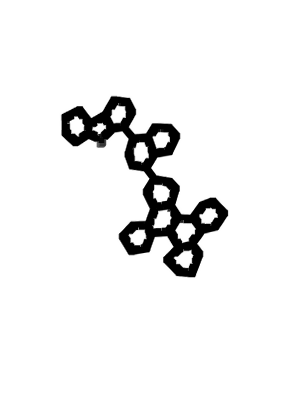 c1ccc2c(c1)sc1c(-c3ccc(-c4ccc5c(c4)c4ccccc4c4c6ccccc6c6ccccc6c54)c4ccccc34)cccc12